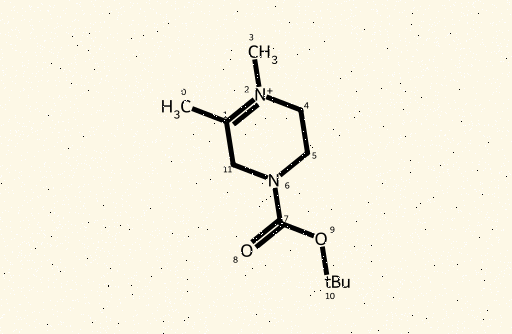 CC1=[N+](C)CCN(C(=O)OC(C)(C)C)C1